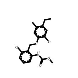 CCc1cc(Br)c(OCc2c(Cl)cccc2NC(=O)OC)cc1C